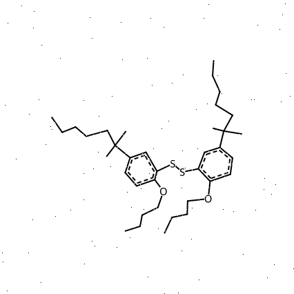 CCCCCC(C)(C)c1ccc(OCCCC)c(SSc2cc(C(C)(C)CCCCC)ccc2OCCCC)c1